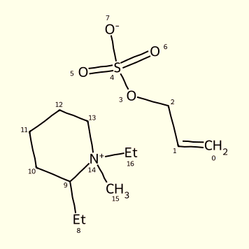 C=CCOS(=O)(=O)[O-].CCC1CCCC[N+]1(C)CC